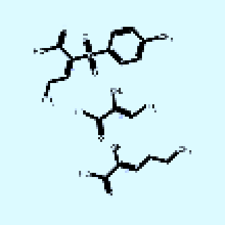 C/C=C(\C)C(=O)O.CC/C=C(\C(=O)O)S(=O)(=O)c1ccc(C)cc1.CCC/C=C(\O)C(=O)O